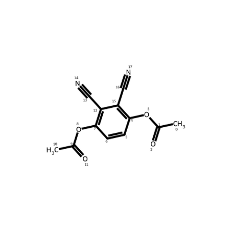 CC(=O)Oc1ccc(OC(C)=O)c(C#N)c1C#N